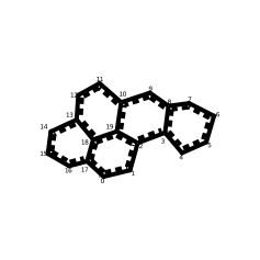 [c]1cc2c3ccccc3cc3ccc4cccc1c4c32